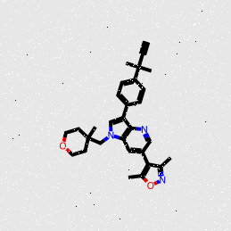 C#CC(C)(C)c1ccc(-c2cn(CC3(C)CCOCC3)c3cc(-c4c(C)noc4C)cnc23)cc1